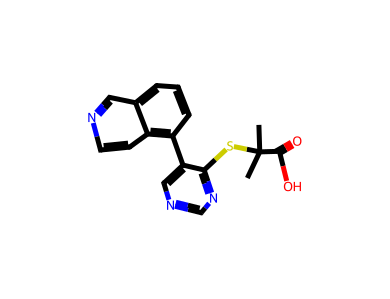 CC(C)(Sc1ncncc1-c1cccc2cnccc12)C(=O)O